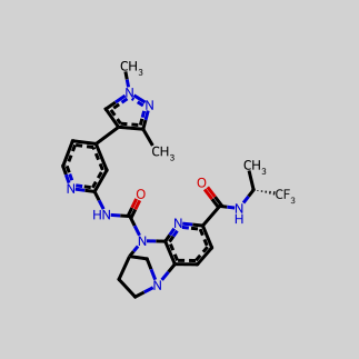 Cc1nn(C)cc1-c1ccnc(NC(=O)N2c3nc(C(=O)N[C@H](C)C(F)(F)F)ccc3N3CCC2C3)c1